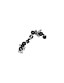 COc1cc(Cn2cccn2)cc2onc(NS(=O)(=O)c3cccc(N4CCN(CCC5CCN(c6ccc7c(c6)C(=O)N(C6CCC(=O)NC6=O)C7=O)C5)CC4)c3)c12